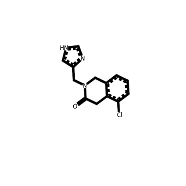 O=C1Cc2c(Cl)cccc2CN1Cc1c[nH]cn1